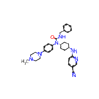 CN1CCN(c2ccc(N(C(=O)NCc3ccccc3)[C@H]3CC[C@H](Nc4ccc(C#N)cn4)CC3)cc2)CC1